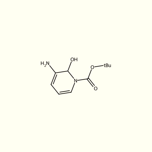 CC(C)(C)OC(=O)N1C=CC=C(N)C1O